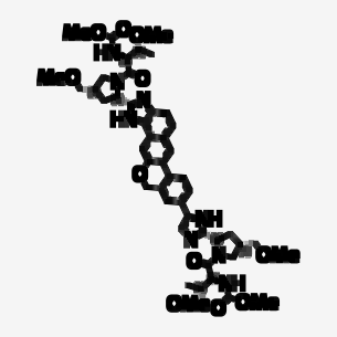 COC[C@H]1C[C@@H](c2ncc(-c3ccc4c(c3)COc3cc5c(ccc6nc([C@@H]7C[C@H](COC)CN7C(=O)[C@@H](NC(=O)OC)[C@@H](C)OC)[nH]c65)cc3-4)[nH]2)N(C(=O)[C@@H](NC(=O)OC)[C@@H](C)OC)C1